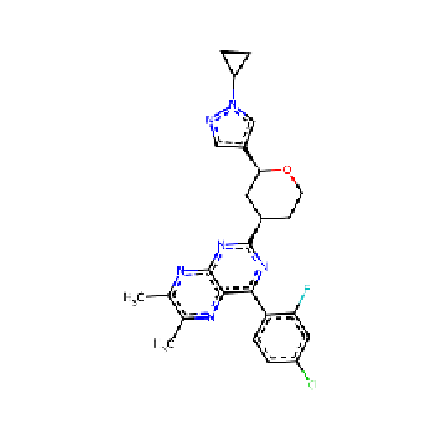 Cc1nc2nc([C@@H]3CCO[C@H](c4cnn(C5CC5)c4)C3)nc(-c3ccc(Cl)cc3F)c2nc1C